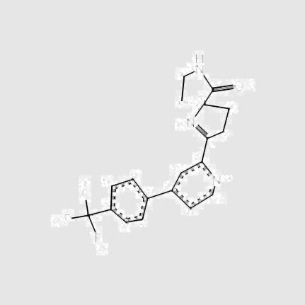 O=C1NCC[C@@]12CCC(c1cc(-c3ccc(C(F)(F)F)cc3)ccn1)=N2